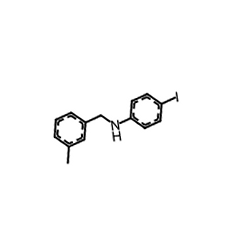 Cc1cccc(CNc2ccc(I)cc2)c1